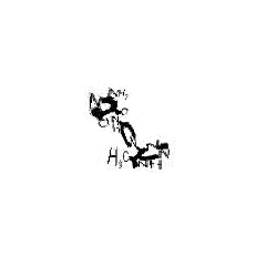 Cc1c[nH]c2ncnc(N3CCC(NC(=O)c4cc(N)ncc4Cl)CC3)c12